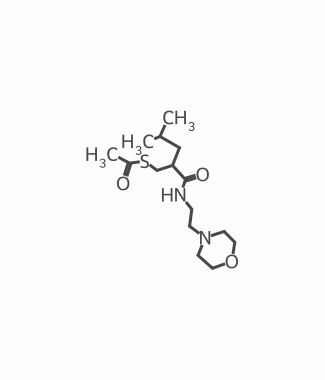 CC(=O)SCC(CC(C)C)C(=O)NCCN1CCOCC1